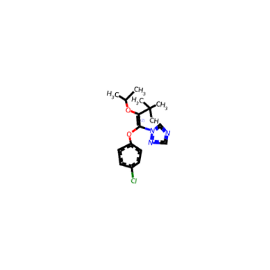 CC(C)O/C(=C(\Oc1ccc(Cl)cc1)n1cncn1)C(C)(C)C